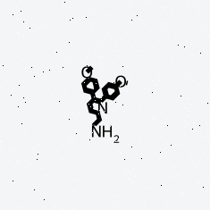 COc1ccc(-c2ccc(CCN)nc2-c2ccc(OC)cc2)cc1